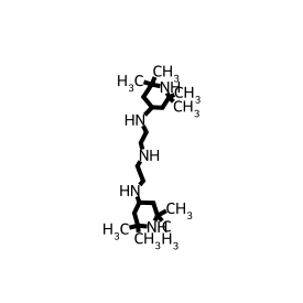 CC1(C)CC(NCCNCCNC2CC(C)(C)NC(C)(C)C2)CC(C)(C)N1